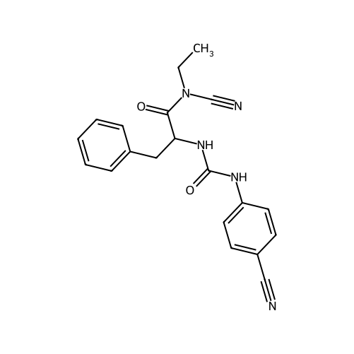 CCN(C#N)C(=O)C(Cc1ccccc1)NC(=O)Nc1ccc(C#N)cc1